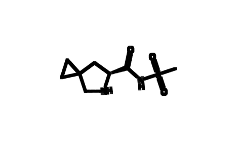 CS(=O)(=O)NC(=O)[C@@H]1CC2(CC2)CN1